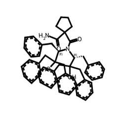 NC(=O)C1(C(=O)N([C@H](Cc2ccccc2)C(O)(Cc2ccccc2)Cc2ccccc2)[C@H](Cc2ccccc2)C(O)(Cc2ccccc2)Cc2ccccc2)CCCC1